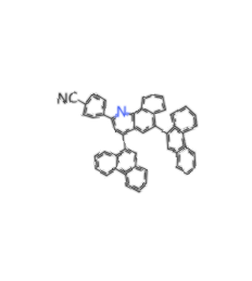 N#Cc1ccc(-c2cc(-c3cc4ccccc4c4ccccc34)c3cc(-c4cc5ccccc5c5ccccc45)c4ccccc4c3n2)cc1